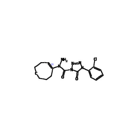 NN(C(=O)n1nnn(-c2ccccc2Cl)c1=O)/C1=C/CCCCCC1